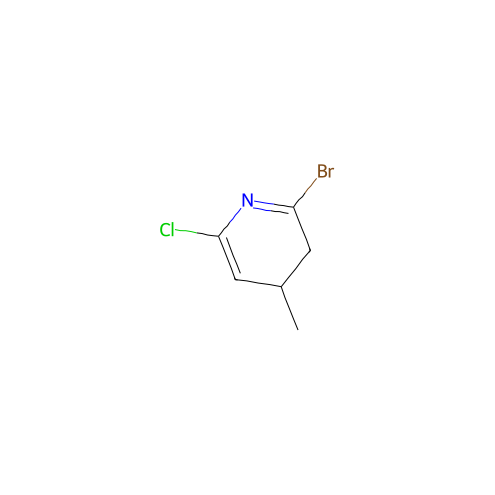 CC1C=C(Cl)N=C(Br)C1